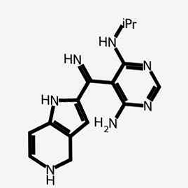 CC(C)Nc1ncnc(N)c1C(=N)c1cc2c([nH]1)C=CNC2